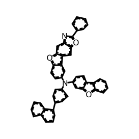 c1ccc(-c2nc3cc4oc5ccc(N(c6ccc(-c7cccc8ccccc78)cc6)c6ccc7c(c6)oc6ccccc67)cc5c4cc3o2)cc1